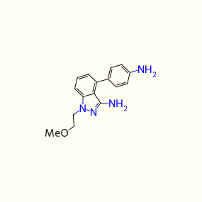 COCCn1nc(N)c2c(-c3ccc(N)cc3)cccc21